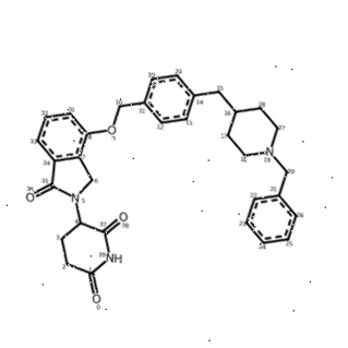 O=C1CCC(N2Cc3c(OCc4ccc(CC5CCN(Cc6ccccc6)CC5)cc4)cccc3C2=O)C(=O)N1